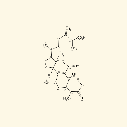 C=C(CCC(C)C1CCC2(O)C3=C(C(=O)CC12C)C1(C)CCC(=O)C(C)C1CC3O)C(C)C(=O)O